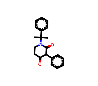 CC(C)(c1ccccc1)N1CCC(=O)C(c2ccccc2)C1=O